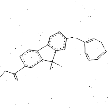 CCC(=O)c1ccc2c(c1)C(C)(C)c1cc(SC3=CCC=CC=C3)ccc1-2